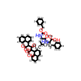 CC(C)C[C@H](NC(=O)OCc1ccccc1)C(=O)N[C@@H](Cc1ccccc1)C(=O)O.O=C(O)C(C(=O)C(C(=O)O)c1cccc2ccccc12)c1cccc2ccccc12